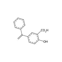 C=C(c1ccccc1)c1ccc(O)c(C(=O)O)c1